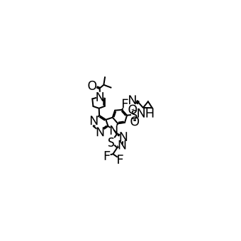 CC(C)C(=O)N1C=CC(c2ncnc3c2c2cc(F)c(S(=O)(=O)NC4(C#N)CC4)cc2n3-c2nnc(C(F)F)s2)CC1